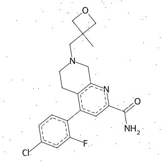 CC1(CN2CCc3c(-c4ccc(Cl)cc4F)cc(C(N)=O)nc3C2)COC1